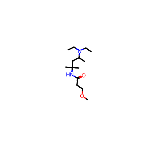 CCN(CC)C(C)CC(C)(C)NC(=O)CCOC